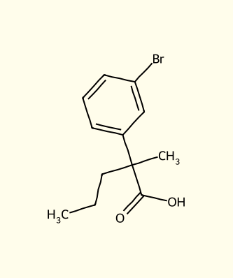 CCCC(C)(C(=O)O)c1cccc(Br)c1